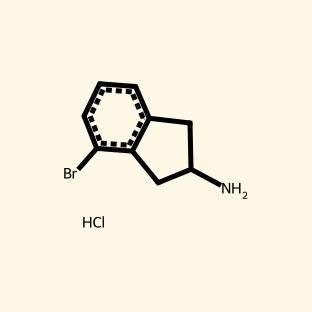 Cl.NC1Cc2cccc(Br)c2C1